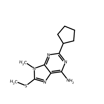 CSc1nc2c(N)nc(C3CCCC3)nc2n1C